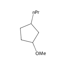 [CH2]CCC1CCC(OC)C1